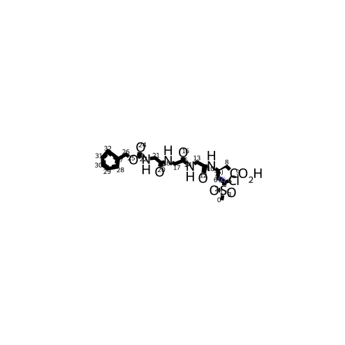 CS(=O)(=O)/C(Cl)=C/[C@H](CC(=O)O)NC(=O)CNC(=O)CNC(=O)CNC(=O)OCc1ccccc1